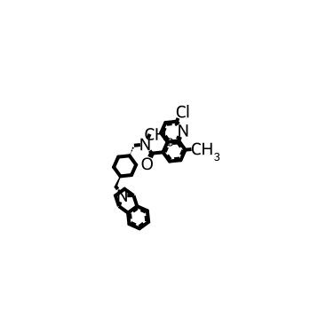 Cc1ccc(C(=O)N(C)C[C@H]2CC[C@H](CN3C4CCC3c3ccccc34)CC2)c2ccc(Cl)nc12